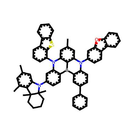 Cc1cc2c3c(c1)N(c1cccc4c1sc1ccccc14)c1cc(N4c5cc(C)cc(C)c5C5(C)CCCCC45C)ccc1B3c1cc(-c3ccccc3)ccc1N2c1ccc2c(c1)oc1ccccc12